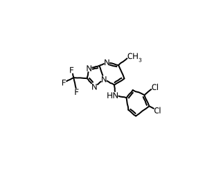 Cc1cc(Nc2ccc(Cl)c(Cl)c2)n2nc(C(F)(F)F)nc2n1